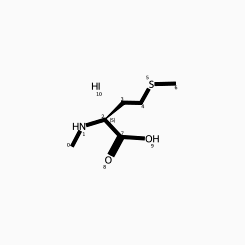 CN[C@@H](CCSC)C(=O)O.I